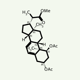 COC(=O)C(C)[C@H]1CC[C@H]2C3=CC=C4C[C@@H](OC(C)=O)C[C@H](OC(C)=O)[C@]4(C)[C@H]3CC[C@]12C